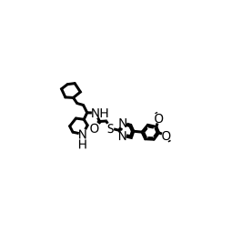 COc1ccc(-c2cnc(SCC(=O)NC(CCC3CCCCC3)C3CCCNC3)nc2)cc1OC